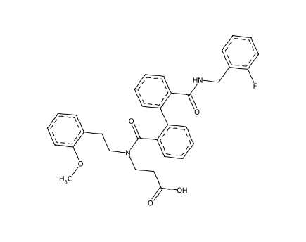 COc1ccccc1CCN(CCC(=O)O)C(=O)c1ccccc1-c1ccccc1C(=O)NCc1ccccc1F